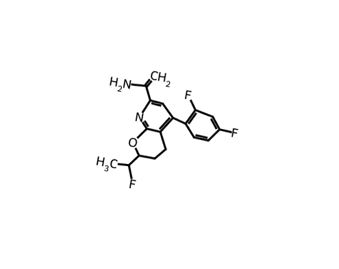 C=C(N)c1cc(-c2ccc(F)cc2F)c2c(n1)OC(C(C)F)CC2